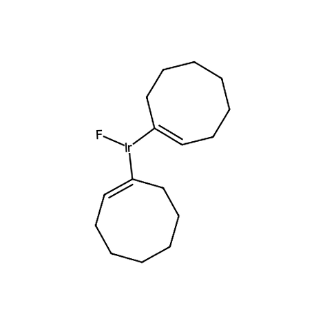 [F][Ir]([C]1=CCCCCCC1)[C]1=CCCCCCC1